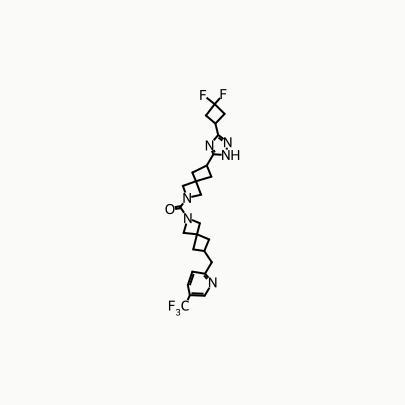 O=C(N1CC2(CC(Cc3ccc(C(F)(F)F)cn3)C2)C1)N1CC2(CC(c3nc(C4CC(F)(F)C4)n[nH]3)C2)C1